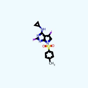 Cc1ccc(S(=O)(=O)n2cc(I)c3c(NC4CC4)nc(I)nc32)cc1